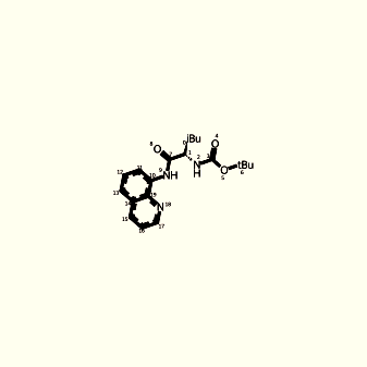 CC[C@H](C)[C@H](NC(=O)OC(C)(C)C)C(=O)Nc1cccc2cccnc12